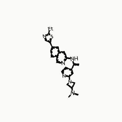 C=C(Nc1cc2cc(-c3cnc(CC)s3)ccc2cn1)c1ccnc(N2CC(N(C)C)C2)c1